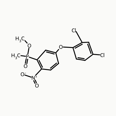 COP(C)(=O)c1cc(Oc2ccc(Cl)cc2Cl)ccc1[N+](=O)[O-]